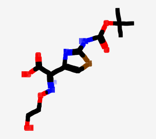 CC(C)(C)OC(=O)Nc1nc(/C(=N/OCCO)C(=O)O)cs1